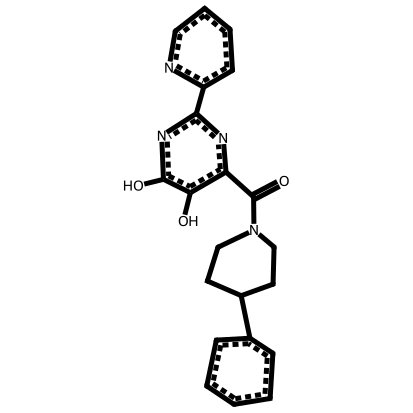 O=C(c1nc(-c2ccccn2)nc(O)c1O)N1CCC(c2ccccc2)CC1